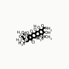 CNC(=O)C(C)(C)N(C)Cc1cc(O)c2c(c1Cl)C[C@H]1C[C@@H]3C(C(=O)C(C(N)=O)=C(O)[C@H]3N(C)C)C(O)=C1C2=O